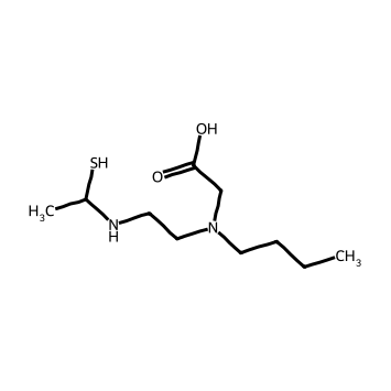 CCCCN(CCNC(C)S)CC(=O)O